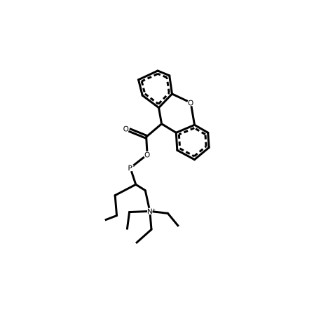 CCCC(C[N+](CC)(CC)CC)[P-]OC(=O)C1c2ccccc2Oc2ccccc21